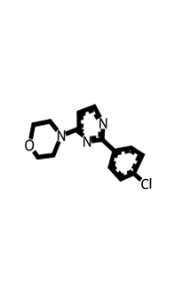 Clc1ccc(-c2nccc(N3CCOCC3)n2)cc1